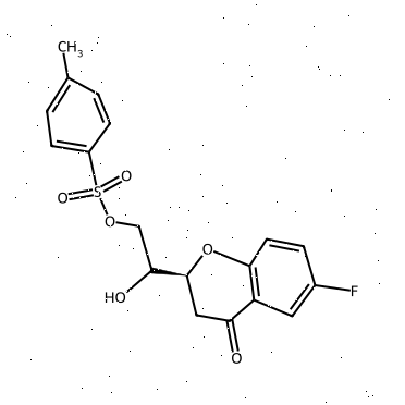 Cc1ccc(S(=O)(=O)OCC(O)[C@@H]2CC(=O)c3cc(F)ccc3O2)cc1